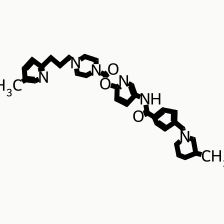 Cc1ccc(CCCN2CCN(C(=O)Oc3ccc(NC(=O)c4ccc(CN5CCCC(C)C5)cc4)cn3)CC2)nc1